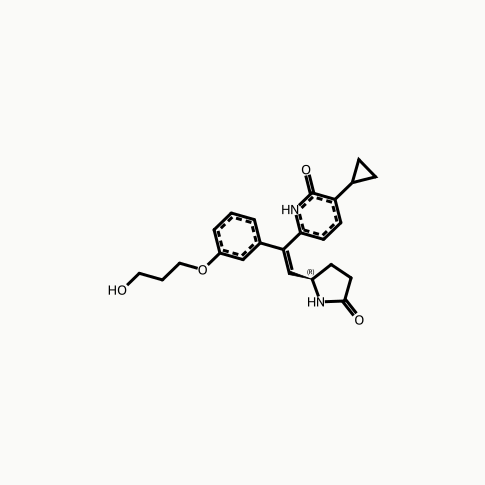 O=C1CC[C@H](C=C(c2cccc(OCCCO)c2)c2ccc(C3CC3)c(=O)[nH]2)N1